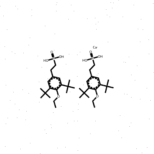 CCOc1c(C(C)(C)C)cc(CCP(=O)(O)O)cc1C(C)(C)C.CCOc1c(C(C)(C)C)cc(CCP(=O)(O)O)cc1C(C)(C)C.[Ca]